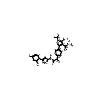 Cc1ccc(-c2cc(NC(=O)C(C)c3ccc(-c4nn(C(C)C)c(N)c4C(N)=O)cn3)on2)c(Cl)c1